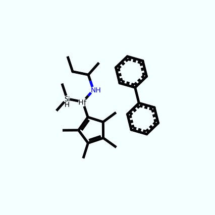 CCC(C)[NH][Hf]([C]1=C(C)C(C)=C(C)C1C)[SiH](C)C.c1ccc(-c2ccccc2)cc1